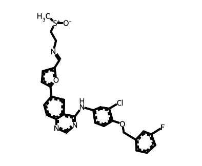 C[S+]([O-])CC/N=C/c1ccc(-c2ccc3ncnc(Nc4ccc(OCc5cccc(F)c5)c(Cl)c4)c3c2)o1